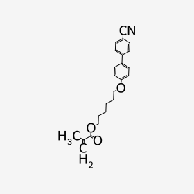 C=C(C)C(=O)OCCCCCCOc1ccc(-c2ccc(C#N)cc2)cc1